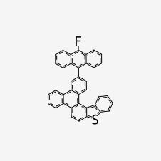 Fc1c2ccccc2c(-c2ccc3c(c2)c2ccccc2c2ccc4sc5ccccc5c4c23)c2ccccc12